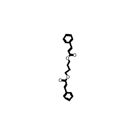 O=C(/C=C/c1ccccc1)OCCCCOC(=O)/C=C/c1ccccc1